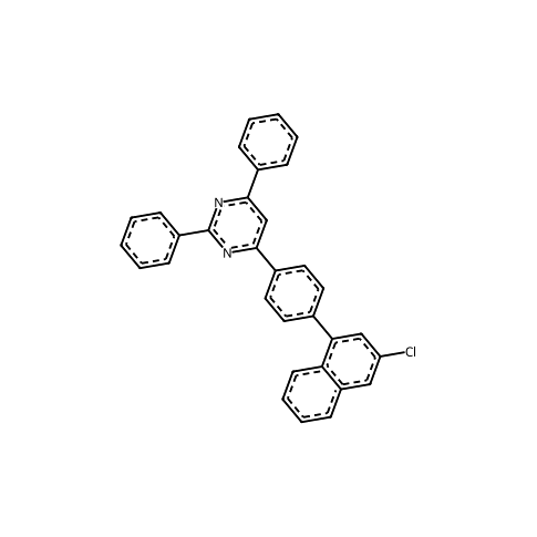 Clc1cc(-c2ccc(-c3cc(-c4ccccc4)nc(-c4ccccc4)n3)cc2)c2ccccc2c1